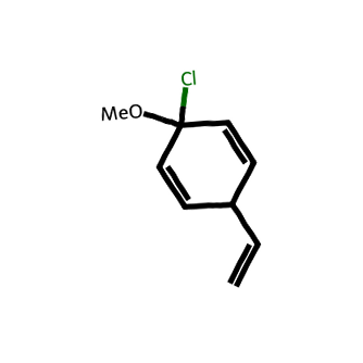 C=CC1C=CC(Cl)(OC)C=C1